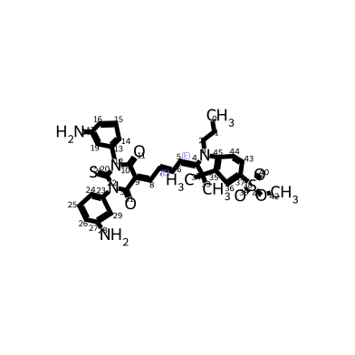 CCCN1/C(=C/C=C/C=C2C(=O)N(c3cccc(N)c3)C(=S)N(c3cccc(N)c3)C2=O)C(C)(C)c2cc(S(=O)(=O)OC)ccc21